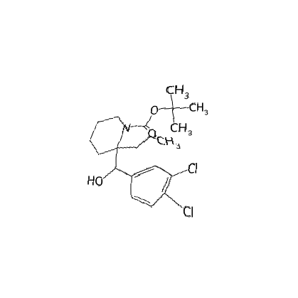 CCCC1(C(O)c2ccc(Cl)c(Cl)c2)CCCCN1C(=O)OC(C)(C)C